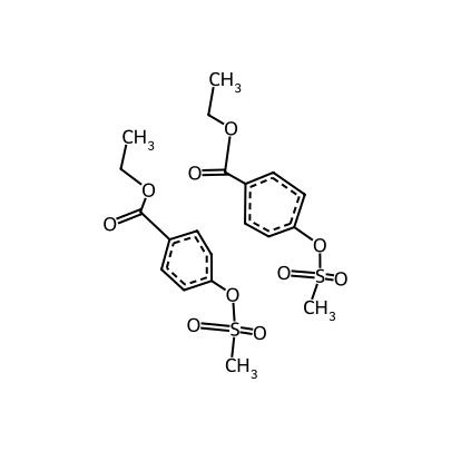 CCOC(=O)c1ccc(OS(C)(=O)=O)cc1.CCOC(=O)c1ccc(OS(C)(=O)=O)cc1